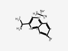 CC(N)c1cnc2ccc(Br)cc2n1.[BH3-]C#N.[Na+]